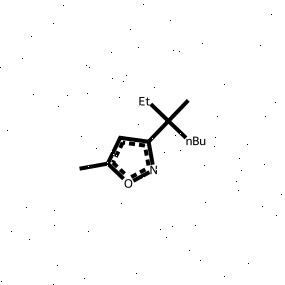 CCCCC(C)(CC)c1cc(C)on1